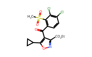 CCOC(=O)c1noc(C2CC2)c1C(=O)c1ccc(Cl)c(Cl)c1S(C)(=O)=O